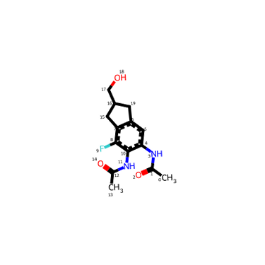 CC(=O)Nc1cc2c(c(F)c1NC(C)=O)CC(CO)C2